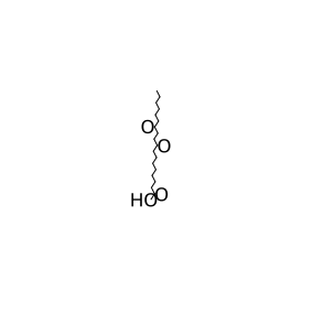 CCCCCCC(=O)CCC(=O)CCCCCCCC(=O)O